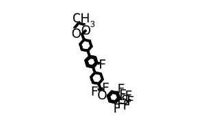 CC1COC(C2CCC(c3ccc(C4CCC(C(F)(F)Oc5cc(F)c(S(F)(F)(F)(F)F)c(F)c5)CC4)c(F)c3)CC2)OC1